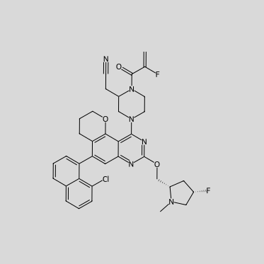 C=C(F)C(=O)N1CCN(c2nc(OC[C@@H]3C[C@H](F)CN3C)nc3cc(-c4cccc5cccc(Cl)c45)c4c(c23)OCCC4)CC1CC#N